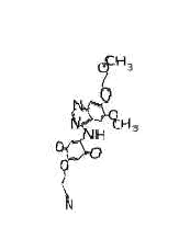 COCCOc1cc2ncnc(NC3=CC(=O)C(OCCC#N)=CC3=O)c2cc1OC